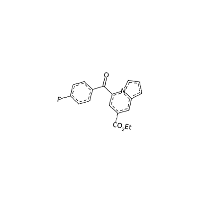 CCOC(=O)c1cc(C(=O)c2ccc(F)cc2)n2cccc2c1